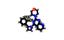 C[C@H]1COCCN1c1nc(N2CCC2c2ccccc2C(F)(F)F)c2cccnc2n1